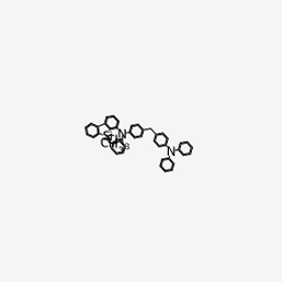 C[Si]1(C)c2ccccc2-c2cccc(N(c3ccccc3)c3ccc(Cc4ccc(N(c5ccccc5)c5ccccc5)cc4)cc3)c21